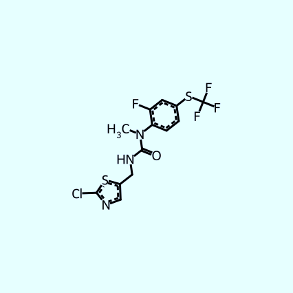 CN(C(=O)NCc1cnc(Cl)s1)c1ccc(SC(F)(F)F)cc1F